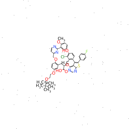 COc1ccccc1-c1nccc(COc2ccc(OCCO[Si](C)(C)C(C)(C)C)cc2CC(Oc2ncnc3sc(-c4ccc(F)cc4)c(-c4ccc(O)c(Cl)c4C)c23)C(=O)O)n1